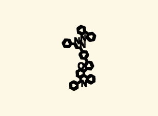 c1ccc(-c2cc(-c3ccc(-c4cccc5c4oc4ccc6c(-c7ccccc7)nc7ccccc7c6c45)cc3)nc(-n3c4ccccc4c4ccccc43)n2)cc1